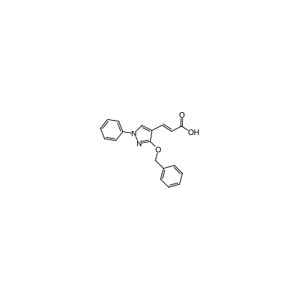 O=C(O)C=Cc1cn(-c2ccccc2)nc1OCc1ccccc1